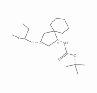 CCC(CC)O[C@H]1C[C@@H](NC(=O)OC(C)(C)C)C2(CCCCC2)C1